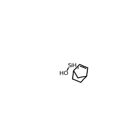 C1=CC2CCC1C2.O[SiH3]